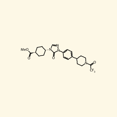 COC(=O)[C@H]1CC[C@H](n2cnn(-c3ccc(C4CCN(C(=O)C(F)(F)F)CC4)cc3)c2=O)CC1